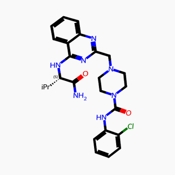 CC(C)[C@H](Nc1nc(CN2CCN(C(=O)Nc3ccccc3Cl)CC2)nc2ccccc12)C(N)=O